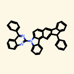 c1ccc(-c2nc(-n3c4ccccc4c4c5cc6c(cc5ccc43)-c3ccccc3C6c3ccccc3)nc3ccccc23)cc1